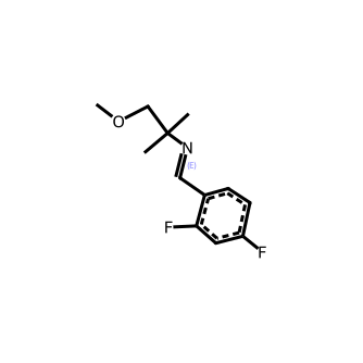 COCC(C)(C)/N=C/c1ccc(F)cc1F